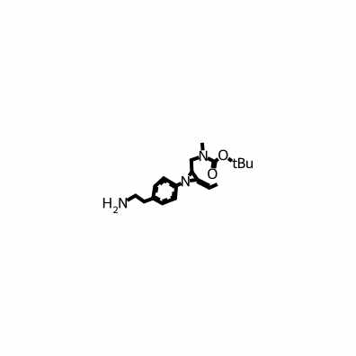 C/C=C1\C(CN(C)C(=O)OC(C)(C)C)N1c1ccc(CCN)cc1